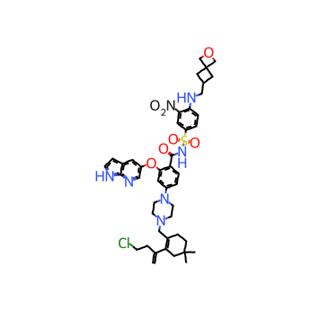 C=C(CCCl)C1=C(CN2CCN(c3ccc(C(=O)NS(=O)(=O)c4ccc(NCC5CC6(COC6)C5)c([N+](=O)[O-])c4)c(Oc4cnc5[nH]ccc5c4)c3)CC2)CCC(C)(C)C1